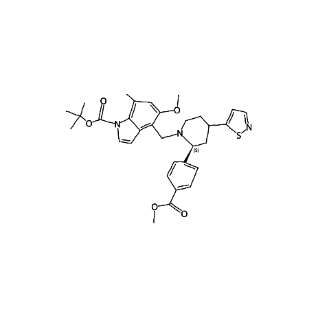 COC(=O)c1ccc([C@@H]2CC(c3ccns3)CCN2Cc2c(OC)cc(C)c3c2ccn3C(=O)OC(C)(C)C)cc1